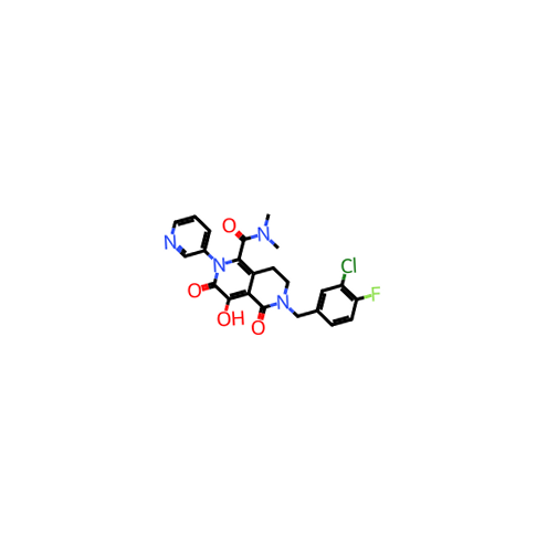 CN(C)C(=O)c1c2c(c(O)c(=O)n1-c1cccnc1)C(=O)N(Cc1ccc(F)c(Cl)c1)CC2